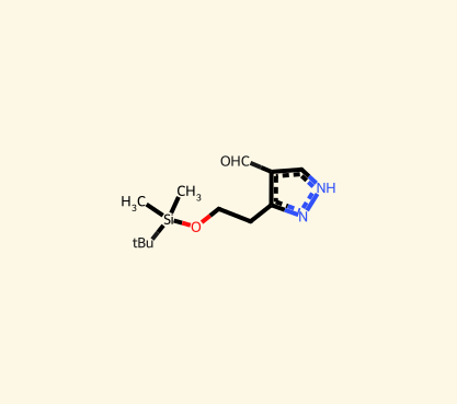 CC(C)(C)[Si](C)(C)OCCc1n[nH]cc1C=O